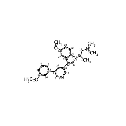 COc1cccc(-c2cncc(-c3cn(C(C)CN(C)C)c4ccc(OC)cc34)c2)c1